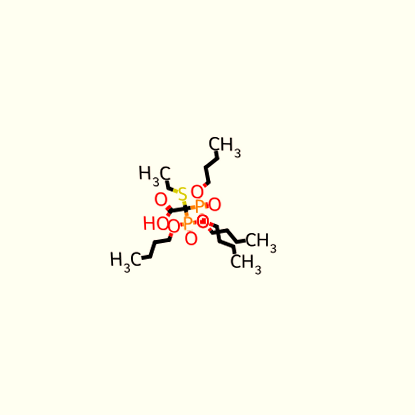 CCCCOP(=O)(OCCCC)C(SCC)(C(=O)O)P(=O)(OCCCC)OCCCC